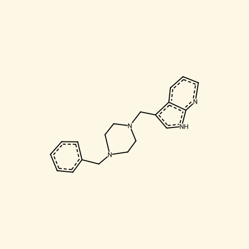 c1ccc(CN2CCN(Cc3c[nH]c4ncccc34)CC2)cc1